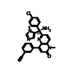 C#Cc1cccc(-c2cc(=O)n(C)c3ccc([C@](N)(c4ccc(Cl)cc4)c4cncn4C)nc23)c1